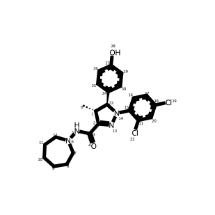 C[C@H]1C(C(=O)NN2CCCCCC2)=NN(c2ccc(Cl)cc2Cl)[C@@H]1c1ccc(O)cc1